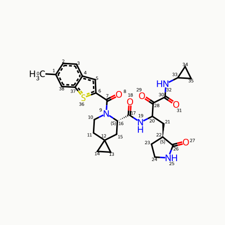 Cc1ccc2cc(C(=O)N3CCC4(CC4)C[C@H]3C(=O)NC(C[C@@H]3CCNC3=O)C(=O)C(=O)NC3CC3)sc2c1